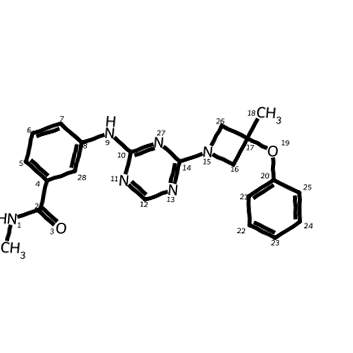 CNC(=O)c1cccc(Nc2ncnc(N3CC(C)(Oc4ccccc4)C3)n2)c1